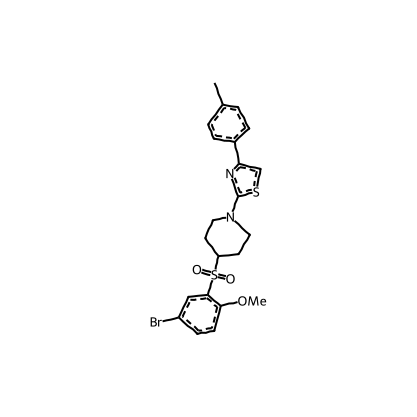 COc1ccc(Br)cc1S(=O)(=O)C1CCN(c2nc(-c3ccc(C)cc3)cs2)CC1